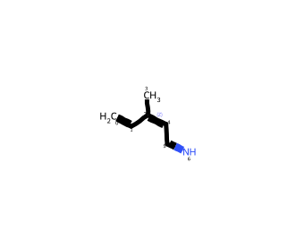 C=C/C(C)=C\C=N